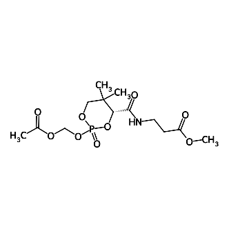 COC(=O)CCNC(=O)[C@@H]1OP(=O)(OCOC(C)=O)OCC1(C)C